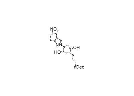 CCCCCCCCCCCCSc1cc(O)c(-n2cc3cc([N+](=O)[O-])ccc3n2)cc1O